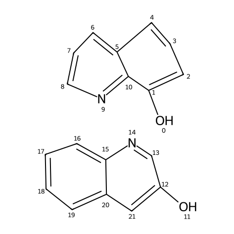 Oc1cccc2cccnc12.Oc1cnc2ccccc2c1